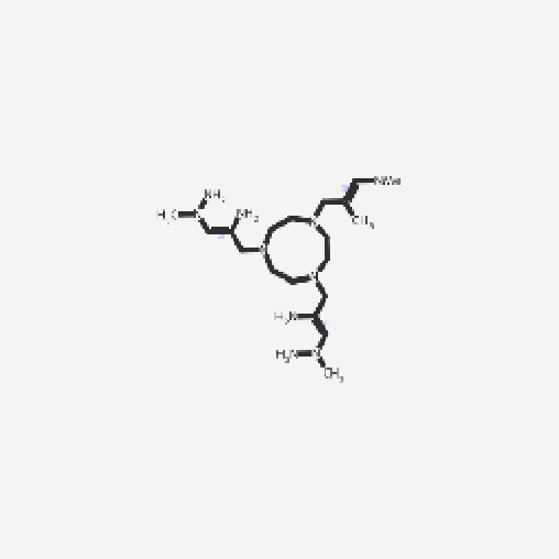 CN/C=C(\C)CN1CCN(C/C(N)=C/N(C)N)CCN(C/C(N)=C/N(C)N)CC1